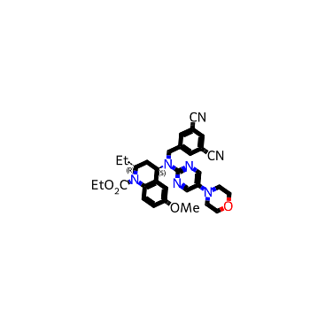 CCOC(=O)N1c2ccc(OC)cc2[C@@H](N(Cc2cc(C#N)cc(C#N)c2)c2ncc(N3CCOCC3)cn2)C[C@H]1CC